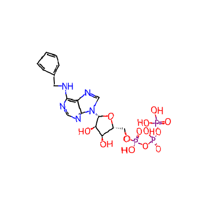 O=P(O)(O)OP(=O)(O)OP(=O)(O)OC[C@H]1O[C@@H](n2cnc3c(NCc4ccccc4)ncnc32)[C@H](O)[C@@H]1O